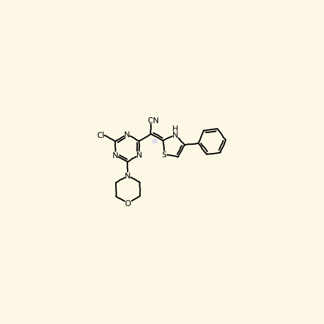 N#C/C(=C1\NC(c2ccccc2)=CS1)c1nc(Cl)nc(N2CCOCC2)n1